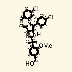 COc1cc(CO)ccc1C(C)(C)c1nc2c([nH]1)C(c1ccc(Cl)cc1)N(c1cc(Cl)ccc1C)C2=O